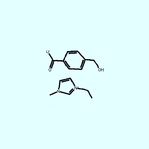 CC[n+]1ccn(C)c1.O=C([O-])c1ccc(CO)cc1